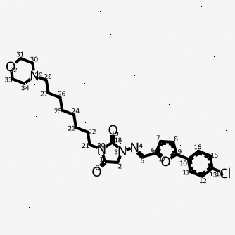 O=C1CN(N=Cc2ccc(-c3ccc(Cl)cc3)o2)C(=O)N1CCCCCCCCN1CCOCC1